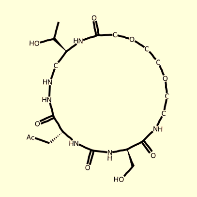 CC(=O)C[C@H]1NC(=O)N[C@H](CO)C(=O)NCCOCCOCC(=O)N[C@H](C(C)O)CNNC1=O